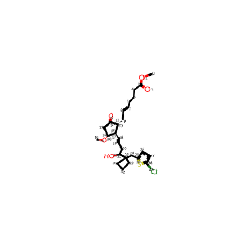 COC(=O)CCCC=CC[C@H]1C(=O)C[C@@H](OC)[C@@H]1C=CCC(O)C1(Cc2ccc(Cl)s2)CCC1